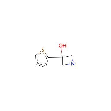 OC1(c2cccs2)C[N]C1